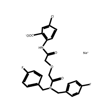 O=C(COCC(=O)N(Cc1ccc(F)cc1)Cc1ccc(F)cc1)Nc1ccc(Cl)cc1C(=O)[O-].[Na+]